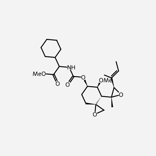 CC=C(C)[C@H]1O[C@]1(C)[C@H]1[C@H](OC)[C@H](OC(=O)NC(C(=O)OC)C2CCCCC2)CC[C@]12CO2